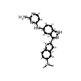 CN(C)c1ccc2sc(-c3n[nH]c4ccc(Nc5ccnc(N)n5)cc34)cc2c1